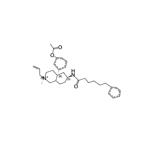 C=CC[N@@+]1(C)CC[C@@]2(c3cccc(OC(C)=O)c3)C[C@@H](NC(=O)CCCCCc3ccccc3)CCC2C1